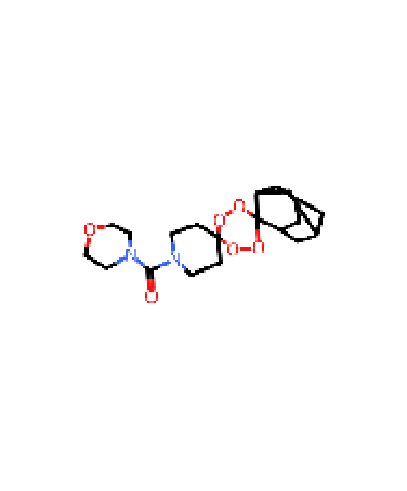 O=C(N1CCOCC1)N1CCC2(CC1)OOC1(OO2)C2CC3CC(C2)CC1C3